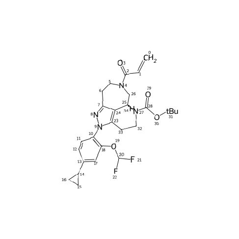 C=CC(=O)N1CCc2nn(-c3ccc(C4CC4)cc3OC(F)F)c3c2[C@H](C1)N(C(=O)OC(C)(C)C)CC3